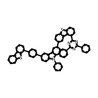 c1ccc(-c2nc(-c3ccccc3)nc(-c3cccc4sc5ccc(-c6ccc7c(c6)c6cc(-c8ccc(-c9cccc%10c9sc9ccccc9%10)cc8)ccc6n7-c6ccccc6)cc5c34)n2)cc1